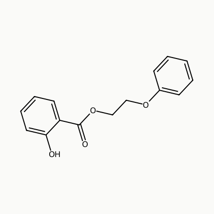 O=C(OCCOc1ccccc1)c1ccccc1O